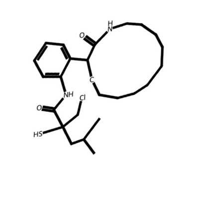 CC(C)CC(S)(CCl)C(=O)Nc1ccccc1C1CCCCCCCCCCNC1=O